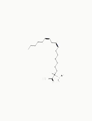 CCCCC/C=C\C/C=C\CCCCCCC(O)(C(=O)O)[N+](=O)[O-]